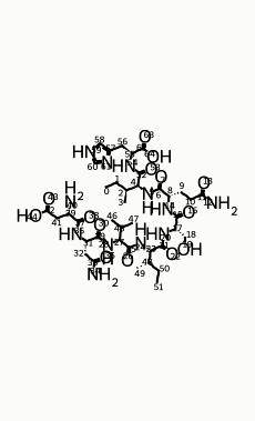 CC[C@H](C)[C@H](NC(=O)[C@H](CCC(N)=O)NC(=O)[C@H](CO)NC(=O)[C@@H](NC(=O)[C@@H](NC(=O)[C@H](CC(N)=O)NC(=O)[C@@H](N)CC(=O)O)C(C)C)[C@@H](C)CC)C(=O)N[C@@H](Cc1c[nH]cn1)C(=O)O